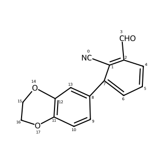 N#Cc1c(C=O)cccc1-c1ccc2c(c1)OCCO2